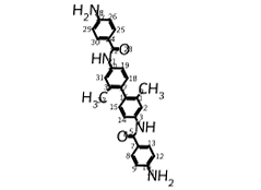 Cc1cc(NC(=O)c2ccc(N)cc2)ccc1-c1ccc(NC(=O)c2ccc(N)cc2)cc1C